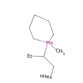 CCCCCCCC(CC)[PH]1(C)CCCCC1